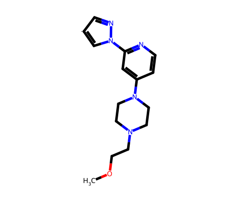 COCCN1CCN(c2ccnc(-n3c[c]cn3)c2)CC1